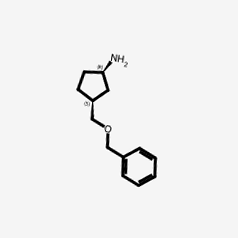 N[C@@H]1CC[C@H](COCc2ccccc2)C1